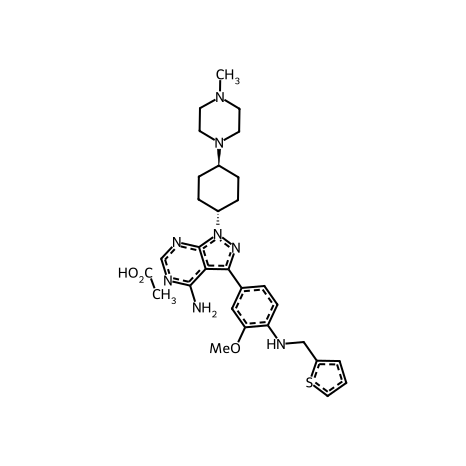 CC(=O)O.COc1cc(-c2nn([C@H]3CC[C@H](N4CCN(C)CC4)CC3)c3ncnc(N)c23)ccc1NCc1cccs1